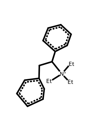 CC[N+](CC)(CC)C(Cc1ccccc1)c1ccccc1